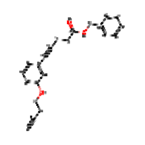 C#CCCOc1cccc(C#CCCC(=O)OCc2ccccc2)c1